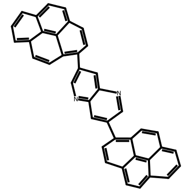 c1cc2ccc3ccc(-c4cnc5cc(-c6ccc7ccc8cccc9ccc6c7c89)cnc5c4)c4ccc(c1)c2c34